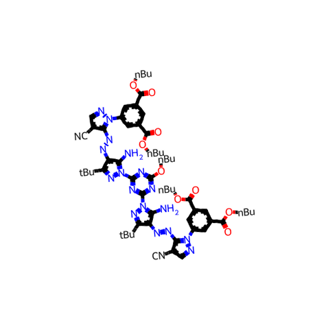 [C-]#[N+]c1cnn(-c2cc(C(=O)OCCCC)cc(C(=O)OCCCC)c2)c1N=Nc1c(C(C)(C)C)nn(-c2nc(OCCCC)nc(-n3nc(C(C)(C)C)c(N=Nc4c(C#N)cnn4-c4cc(C(=O)OCCCC)cc(C(=O)OCCCC)c4)c3N)n2)c1N